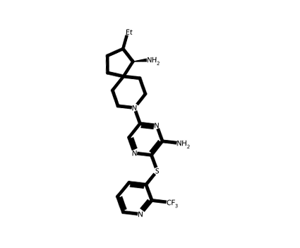 CCC1CCC2(CCN(c3cnc(Sc4cccnc4C(F)(F)F)c(N)n3)CC2)[C@@H]1N